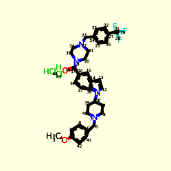 COc1ccc(CN2CCC(n3ccc4cc(C(=O)N5CCN(Cc6ccc(C(F)(F)F)cc6)CC5)ccc43)CC2)cc1.Cl.Cl